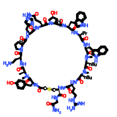 CCCC[C@H]1C(=O)N(C)[C@@H](CCCC)C(=O)N[C@@H](CCCNC(=N)N)C(=O)N[C@H](C(=O)NCC(N)=O)CSCC(=O)N[C@@H](Cc2ccc(O)cc2)C(=O)N(C)[C@@H](C)C(=O)N[C@@H](CCN)C(=O)N2CCC[C@H]2C(=O)N[C@@H](Cc2c[nH]cn2)C(=O)N[C@@H](CCC(N)=O)C(=O)N2C[C@H](O)C[C@H]2C(=O)N[C@@H](Cc2c[nH]c3ccccc23)C(=O)N[C@@H](C(C)C)C(=O)N[C@@H](Cc2c[nH]c3ccccc23)C(=O)N1C